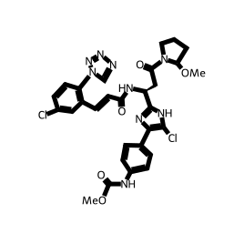 COC(=O)Nc1ccc(-c2nc([C@H](CC(=O)N3CCCC3OC)NC(=O)C=Cc3cc(Cl)ccc3-n3cnnn3)[nH]c2Cl)cc1